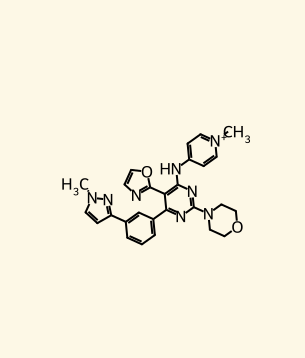 Cn1ccc(-c2cccc(-c3nc(N4CCOCC4)nc(Nc4cc[n+](C)cc4)c3-c3ncco3)c2)n1